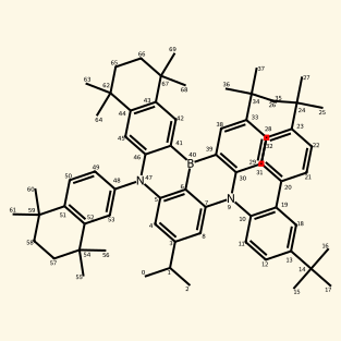 CC(C)c1cc2c3c(c1)N(c1ccc(C(C)(C)C)cc1-c1ccc(C(C)(C)C)cc1)c1ccc(C(C)(C)C)cc1B3c1cc3c(cc1N2c1ccc2c(c1)C(C)(C)CCC2(C)C)C(C)(C)CCC3(C)C